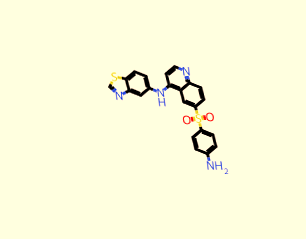 Nc1ccc(S(=O)(=O)c2ccc3nccc(Nc4ccc5scnc5c4)c3c2)cc1